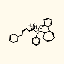 C=C1C=CC=CC1C1C=CC=CCC1CN(/C(C)=C/C=C\CC1CC=CCC1)c1ccccc1